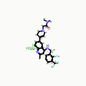 Cc1cc(N[C@H](C)c2cccc(C(F)F)c2F)c2cc(C3=CCN(CC(=O)N(C)C)CC3)ccc2n1.Cl.Cl